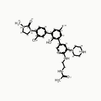 CC(=O)NCCNc1ncc(-c2cc(F)cc(-c3ccc(N4CCN(C)C4=O)c(Cl)c3)c2O)cc1N1CCNCC1